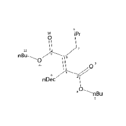 CCCCCCCCCCC(C(=O)OCCCC)=C(CC(C)C)C(=O)OCCCC